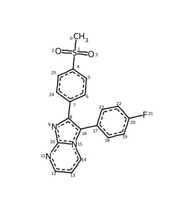 CS(=O)(=O)c1ccc(-c2nc3ncccn3c2-c2ccc(F)cc2)cc1